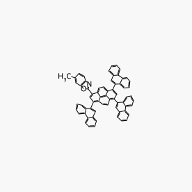 Cc1ccc2nc(-c3cc(-c4cc5ccccc5c5ccccc45)c4ccc5c(-c6cc7ccccc7c7ccccc67)cc(-c6cc7ccccc7c7ccccc67)c6ccc3c4c65)oc2c1